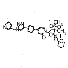 CC(CCn1ccc(-c2ccc(-c3cn(Cc4cccnc4)nn3)cc2)cc1=O)(C(=O)NOC1CCCCO1)S(C)(=O)=O